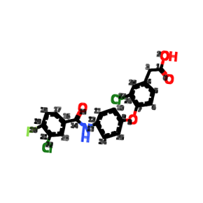 O=C(O)Cc1ccc(Oc2ccc(NC(=O)c3ccc(F)c(Cl)c3)cc2)c(Cl)c1